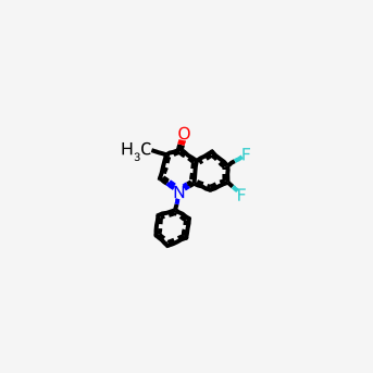 Cc1cn(-c2ccccc2)c2cc(F)c(F)cc2c1=O